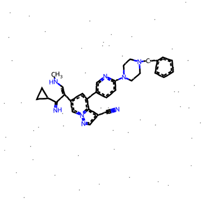 CN/C=C(\C(=N)C1CC1)c1cc(-c2ccc(N3CCN(Cc4ccccc4)CC3)nc2)c2c(C#N)cnn2c1